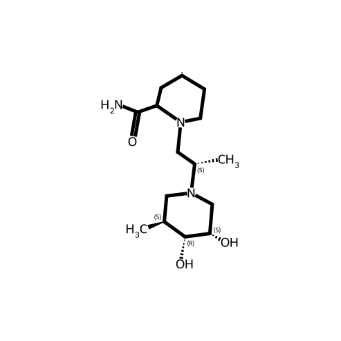 C[C@H]1CN([C@@H](C)CN2CC[CH]CC2C(N)=O)C[C@H](O)[C@@H]1O